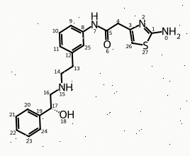 Nc1nc(CC(=O)Nc2cccc(CCNC[C@H](O)c3ccccc3)c2)cs1